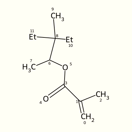 C=C(C)C(=O)OC(C)C(C)(CC)CC